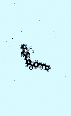 Cc1cc(Cc2nccn3c(C4=CCN=C4C(F)(F)F)cnc23)ccc1C(=O)C1CCC(CC(=O)CC2CCCC2)CC1